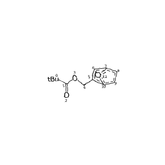 CC(C)(C)C(=O)OCc1cc2ccc1o2